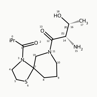 CC(C)C(=O)N1CCSC12CCCN(C(=O)[C@@H](N)[C@@H](C)O)C2